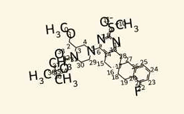 COCC1CN(c2nc([S+](C)[O-])nc3c2CC[C@]2(CCc4c(F)cccc4C2)C3)CCN1C(=O)OC(C)(C)C